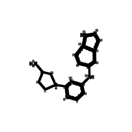 NC1CCN(c2nccc(Nc3ccc4[nH]ncc4c3)n2)C1